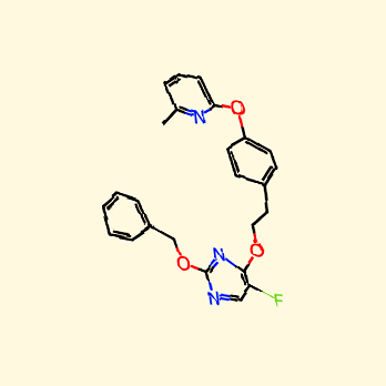 Cc1cccc(Oc2ccc(CCOc3nc(OCc4ccccc4)ncc3F)cc2)n1